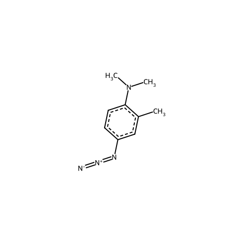 Cc1cc(N=[N+]=[N-])ccc1N(C)C